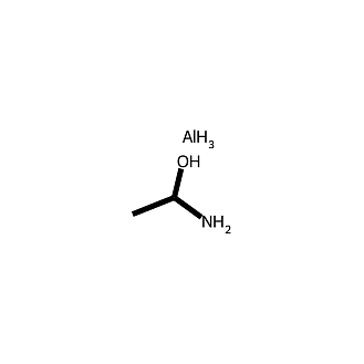 CC(N)O.[AlH3]